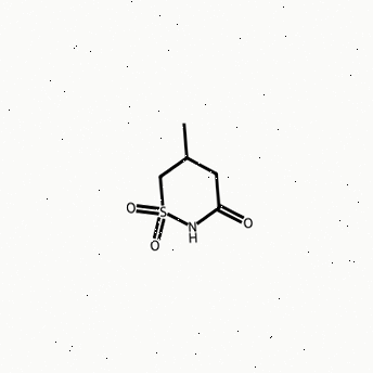 CC1CC(=O)NS(=O)(=O)C1